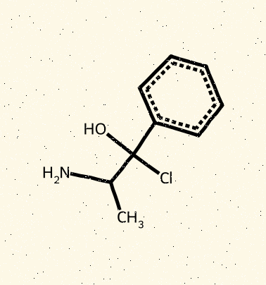 CC(N)C(O)(Cl)c1ccccc1